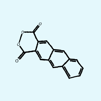 O=c1ooc(=O)c2cc3cc4ccccc4cc3cc12